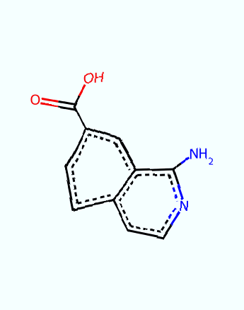 Nc1nccc2ccc(C(=O)O)cc12